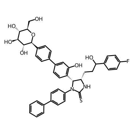 OC[C@H]1O[C@@H](c2ccc(-c3ccc([C@@H]4[C@H](CCC(O)c5ccc(F)cc5)NC(=S)N4c4ccc(-c5ccccc5)cc4)c(O)c3)cc2)[C@H](O)[C@@H](O)[C@@H]1O